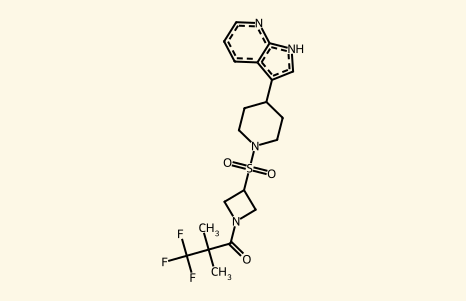 CC(C)(C(=O)N1CC(S(=O)(=O)N2CCC(c3c[nH]c4ncccc34)CC2)C1)C(F)(F)F